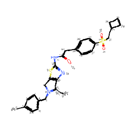 CC(C)c1ccc(CN2Cc3sc(NC(=O)Cc4ccc(S(=O)(=O)CC5CCC5)cc4)nc3[C@H]2C(C)C)cc1